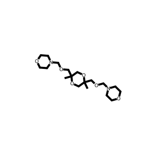 CC1(COCN2CCOCC2)COC(C)(COCN2CCOCC2)CO1